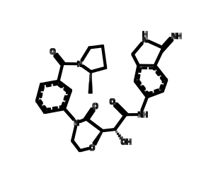 C[C@@H]1CCCN1C(=O)c1cccc(N2CCO[C@H]([C@@H](O)C(=O)Nc3ccc4c(c3)CNC4=N)C2=O)c1